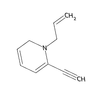 C#CC1=CC=CCN1CC=C